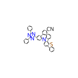 N#Cc1ccc(-c2cc(-c3nc(-c4ccccc4)nc(-c4ccccc4)n3)ccc2-n2c3ccccc3c3c4sc5ccccc5c4ccc32)cc1